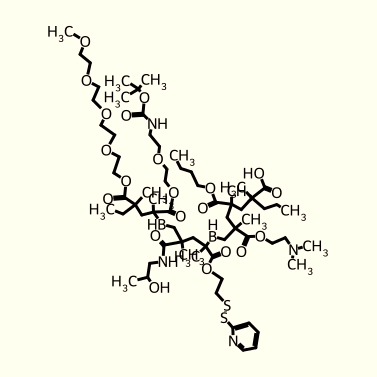 CCCCOC(=O)C(C)(CC(C)(CCC)C(=O)O)CC(C)(CBC(C)(CC(C)(CBC(C)(CC(C)(CC)C(=O)OCCOCCOCCOCCOC)C(=O)OCCOCCNC(=O)OC(C)(C)C)C(=O)NCC(C)O)C(=O)OCCSSc1ccccn1)C(=O)OCCN(C)C